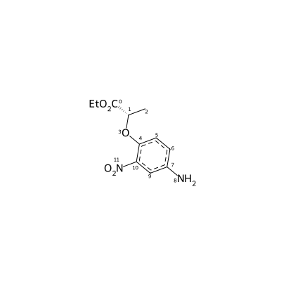 CCOC(=O)[C@H](C)Oc1ccc(N)cc1[N+](=O)[O-]